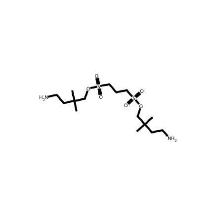 CC(C)(CCN)COS(=O)(=O)CCCS(=O)(=O)OCC(C)(C)CCN